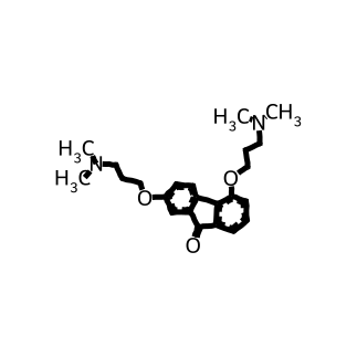 CN(C)CCCOc1ccc2c(c1)C(=O)c1cccc(OCCCN(C)C)c1-2